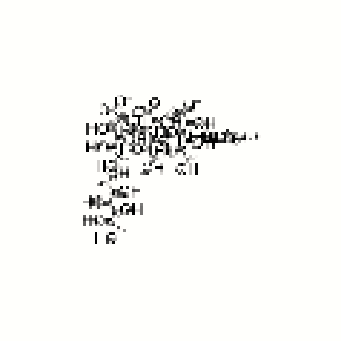 O=C([O-])[C@H](O)[C@@H](O)[C@H](O)[C@H](O)CO.O=C([O-])[C@H](O)[C@@H](O)[C@H](O)[C@H](O)CO.O=C([O-])[C@H](O)[C@@H](O)[C@H](O)[C@H](O)CO.OC[C@@H](O)[C@@H](O)[C@H](O)[C@H](O)CO.[Fe+3].[Fe+3].[OH-].[OH-].[OH-]